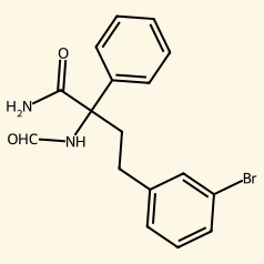 NC(=O)C(CCc1cccc(Br)c1)(NC=O)c1ccccc1